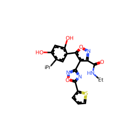 CCNC(=O)c1noc(-c2cc(C(C)C)c(O)cc2O)c1-c1noc(-c2cccs2)n1